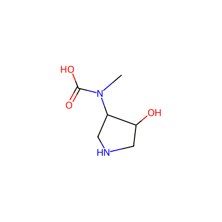 CN(C(=O)O)C1CNCC1O